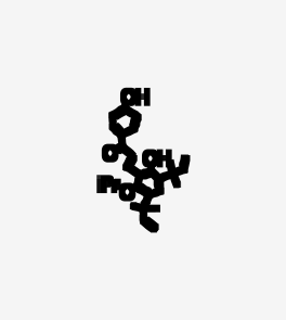 C=CC(C)(C)c1cc(C(C)(C)C=C)c(OC(C)C)c(/C=C/C(=O)c2ccc(O)cc2)c1O